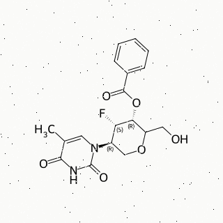 Cc1cn([C@@H]2COC(CO)[C@@H](OC(=O)c3ccccc3)[C@H]2F)c(=O)[nH]c1=O